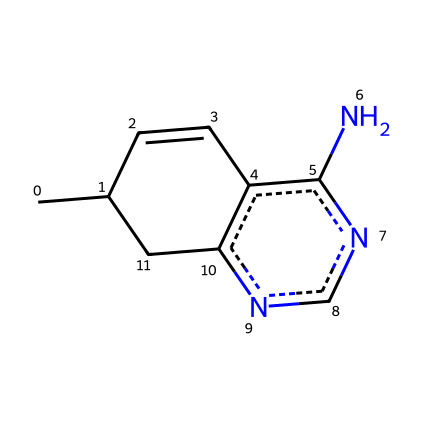 CC1C=Cc2c(N)ncnc2C1